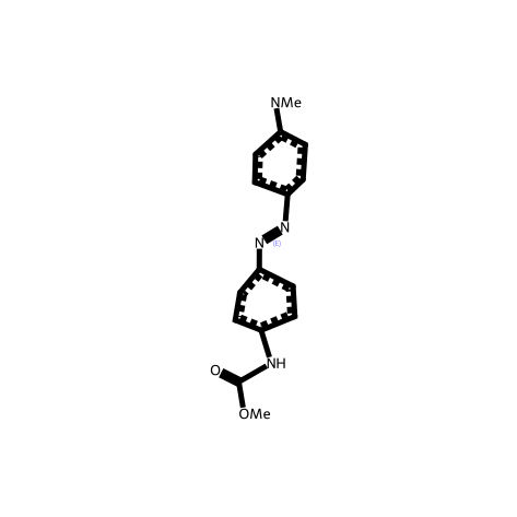 CNc1ccc(/N=N/c2ccc(NC(=O)OC)cc2)cc1